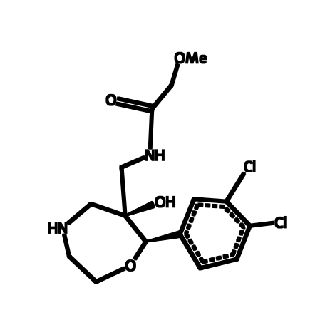 COCC(=O)NC[C@@]1(O)CNCCO[C@@H]1c1ccc(Cl)c(Cl)c1